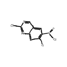 O=[N+]([O-])c1cc2cnc(Cl)nc2cc1Cl